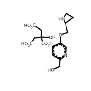 O=C(O)CC(O)(CC(=O)O)C(=O)O.OCc1ccc(OC[C@@H]2CCN2)cn1